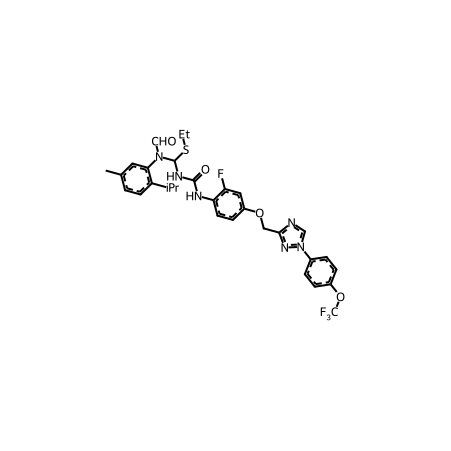 CCSC(NC(=O)Nc1ccc(OCc2ncn(-c3ccc(OC(F)(F)F)cc3)n2)cc1F)N(C=O)c1cc(C)ccc1C(C)C